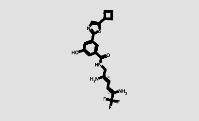 N/C(=C\C=C(/N)C(F)(F)F)CNC(=O)c1cc(O)cc(-c2ncc(C3CCC3)s2)c1